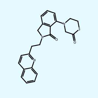 O=C1CN(c2cccc3c2C(=O)N(CCc2ccc4ccccc4n2)C3)CCS1